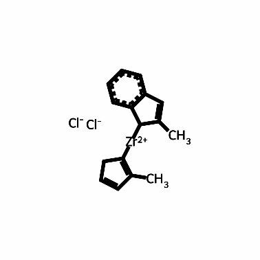 CC1=Cc2ccccc2[CH]1[Zr+2][C]1=C(C)C=CC1.[Cl-].[Cl-]